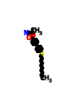 CCCCCCCCCCSc1ccc(-c2ccc(C(=O)O[C@H](C)C#N)cc2)cc1